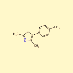 CC1=NC(C)=C(c2ccc(C)cc2)C1